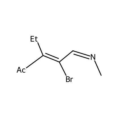 CC/C(C(C)=O)=C(Br)\C=N/C